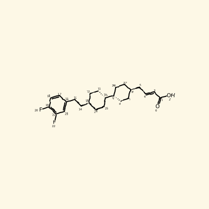 O=C(O)/C=C/C[C@H]1CC[C@H]([C@H]2CC[C@H](CCc3ccc(F)c(F)c3)CC2)CC1